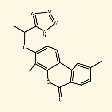 Cc1ccc2c(=O)oc3c(C)c(OC(C)c4nnn[nH]4)ccc3c2c1